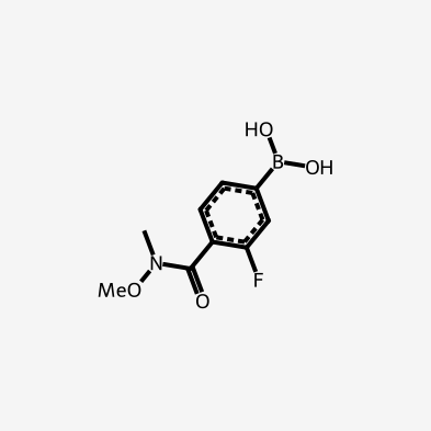 CON(C)C(=O)c1ccc(B(O)O)cc1F